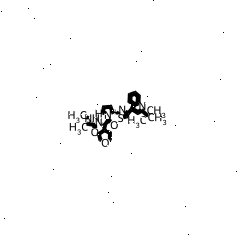 CN[C@@H](C)C(=O)N[C@H](C(=O)N1CCC[C@H]1c1nc(-c2cc(C(C)(C)C)nc3ccccc23)cs1)C1CCOCC1